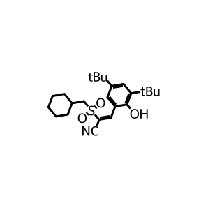 CC(C)(C)c1cc(C=C(C#N)S(=O)(=O)CC2CCCCC2)c(O)c(C(C)(C)C)c1